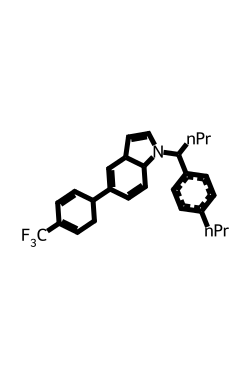 CCCc1ccc(C(CCC)N2C=CC3C=C(C4C=CC(C(F)(F)F)=CC4)C=CC32)cc1